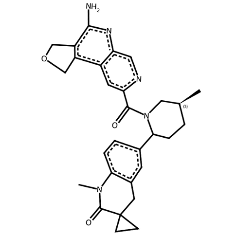 C[C@H]1CCC(c2ccc3c(c2)CC2(CC2)C(=O)N3C)N(C(=O)c2cc3c4c(c(N)nc3cn2)COC4)C1